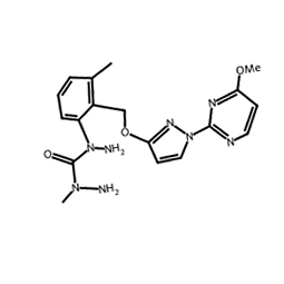 COc1ccnc(-n2ccc(OCc3c(C)cccc3N(N)C(=O)N(C)N)n2)n1